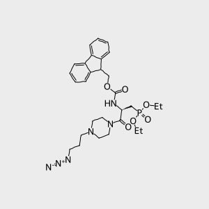 CCOP(=O)(C[C@H](NC(=O)OCC1c2ccccc2-c2ccccc21)C(=O)N1CCN(CCCN=[N+]=[N-])CC1)OCC